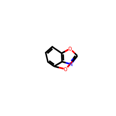 c1cc2oc3nc2c(c1)o3